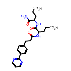 NC(=O)C(CCC(=O)O)NC(=O)C(CCC(=O)O)NC(=O)CCc1ccc(-c2ncccn2)cc1